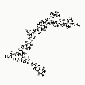 CC(C)[C@H](NC(=O)CCOCCC(=O)Oc1c(F)c(F)c(F)c(F)c1F)C(=O)N[C@@H](CCCNC(N)=O)C(=O)Nc1ccc(COC(=O)N2C[C@@H](F)C[C@H]2COC(=O)Nc2ncnc3c2ncn3[C@@H]2OC(CO[P@](=O)(O)S)[C@@H](OP(=O)(S)OC[C@@H]3CC[C@H](n4cnc5c(N)ncnc54)O3)[C@H]2F)cc1